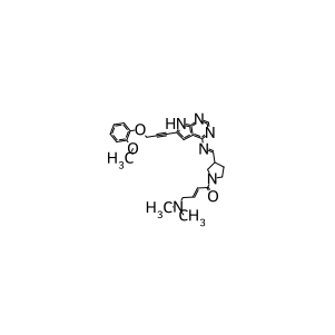 COc1ccccc1OCC#Cc1cc2c(/N=C/C3CCN(C(=O)/C=C/CN(C)C)C3)ncnc2[nH]1